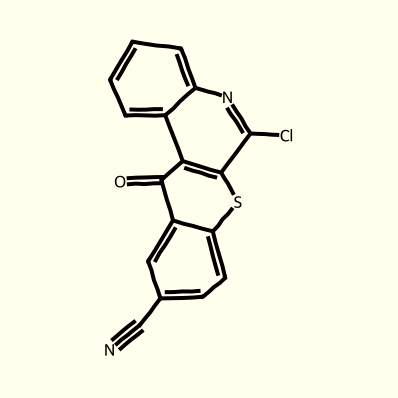 N#Cc1ccc2sc3c(Cl)nc4ccccc4c3c(=O)c2c1